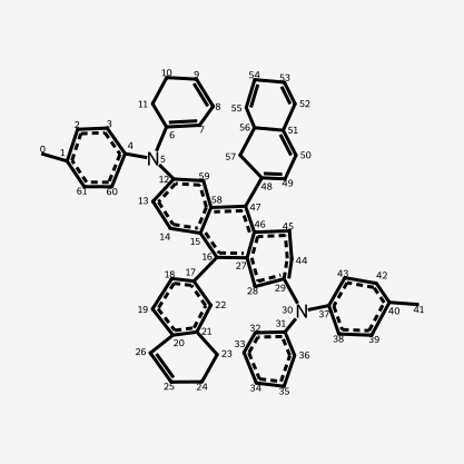 Cc1ccc(N(C2=CC=CCC2)c2ccc3c(-c4ccc5c(c4)CCC=C5)c4cc(N(c5ccccc5)c5ccc(C)cc5)ccc4c(C4=CC=C5C=CC=CC5C4)c3c2)cc1